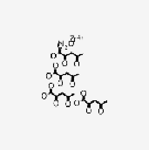 CC(=O)CC(=O)C(=O)[O-].CC(=O)CC(=O)C(=O)[O-].CC(=O)CC(=O)C(=O)[O-].CC(=O)CC(=O)C(=O)[O-].O.[Zr+4]